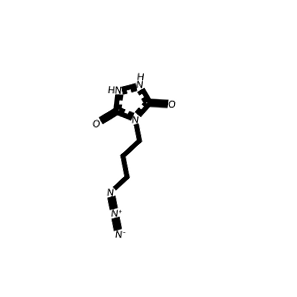 [N-]=[N+]=NCCCn1c(=O)[nH][nH]c1=O